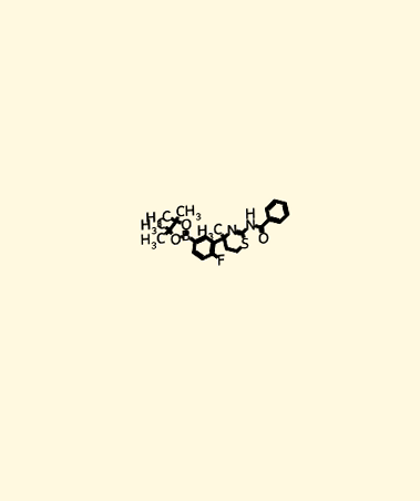 CC1(c2cc(B3OC(C)(C)C(C)(C)O3)ccc2F)CCSC(NC(=O)c2ccccc2)=N1